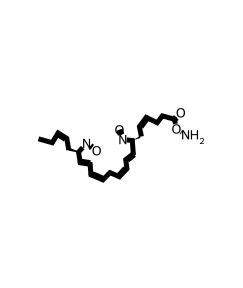 CC/C=C\C[C@H](/C=C/C=C\C/C=C\C=C\[C@@H](C/C=C\CCC(=O)ON)N=O)N=O